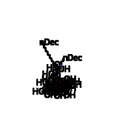 CCCCCCCCCCCCC/C=C/[C@@H](O)[C@H](CO[C@@H]1OC(CO)[C@@H](O[C@@H]2OC(CO)[C@H](O[C@@H]3OC(CO)[C@H](O)[C@H](O)C3NC(C)=O)[C@H](O[C@@H]3OC(CO)[C@@H](O[C@@H]4OC(CO)[C@H](O)[C@H](O[C@H]5OC(CO)[C@H](O)[C@H](O)C5O)C4O)[C@H](O)C3NC(C)=O)C2O)[C@H](O)C1O)NC(=O)CCCCCCCCCCCCCCCCCCCCCCC